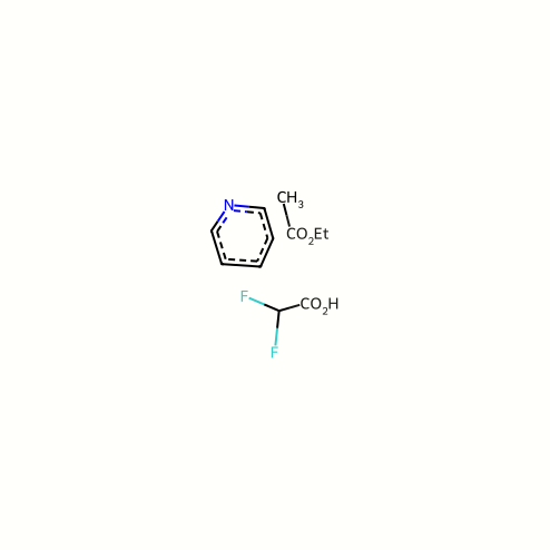 CCOC(C)=O.O=C(O)C(F)F.c1ccncc1